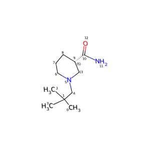 CC(C)(C)CN1CCC[C@H](C(N)=O)C1